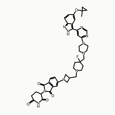 CC1(Oc2ccc3n[nH]c(-c4cc(N5CCN(CC6(F)CCN(CC7CN(c8ccc9c(c8)C(=O)N(C8CCC(=O)NC8=O)C9=O)C7)CC6)CC5)ncn4)c3c2)CC1